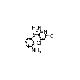 Nc1nc(Cl)ccc1Sc1ccnc(N)c1Cl